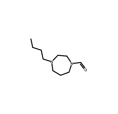 CCCCN1CCCN(C=O)CC1